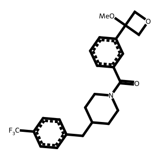 COC1(c2cccc(C(=O)N3CCC(Cc4ccc(C(F)(F)F)cc4)CC3)c2)COC1